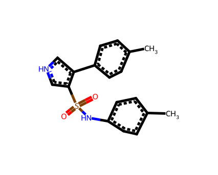 Cc1ccc(NS(=O)(=O)c2c[nH]cc2-c2ccc(C)cc2)cc1